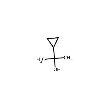 CC(C)(O)C1CC1